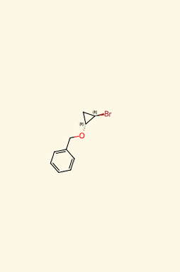 Br[C@@H]1C[C@H]1OCc1ccccc1